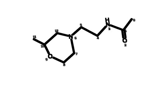 CC(=O)NCCN1CCOC(C)C1